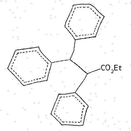 CCOC(=O)C(c1ccccc1)C(c1ccccc1)c1ccccc1